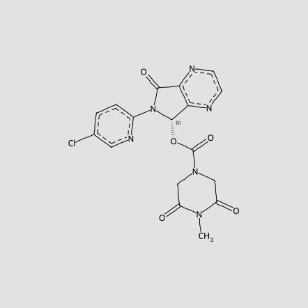 CN1C(=O)CN(C(=O)O[C@H]2c3nccnc3C(=O)N2c2ccc(Cl)cn2)CC1=O